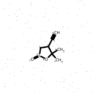 C#CC1CS(=O)OC1(C)C